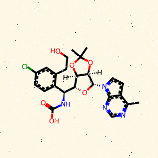 Cc1ncnc2c1ccn2[C@@H]1O[C@H]([C@@H](NC(=O)O)c2ccc(Cl)cc2CCO)[C@H]2OC(C)(C)O[C@H]21